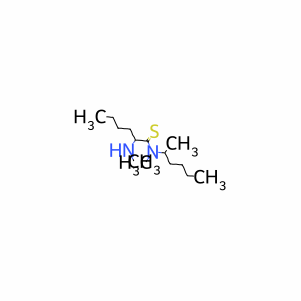 CCCCC(NC)C(=S)N(C)C(C)CCCC